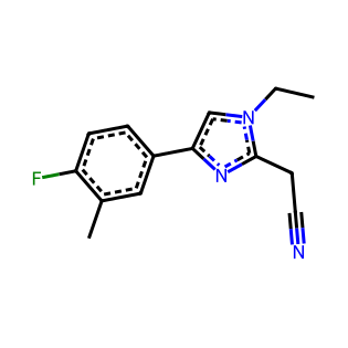 CCn1cc(-c2ccc(F)c(C)c2)nc1CC#N